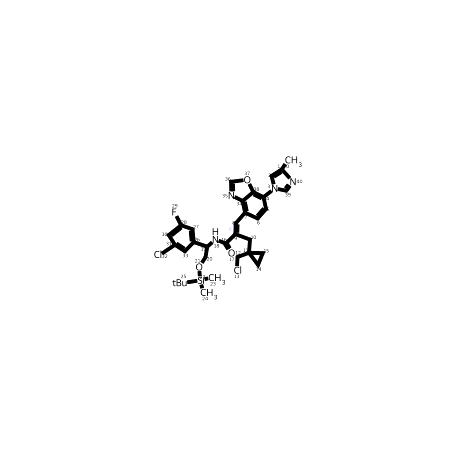 Cc1cn(-c2ccc(/C=C(\CC3(CCl)CC3)C(=O)NC(CO[Si](C)(C)C(C)(C)C)c3cc(F)cc(Cl)c3)c3ncoc23)cn1